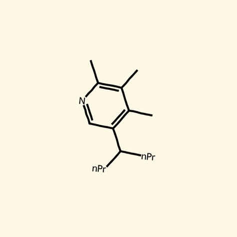 CCCC(CCC)c1cnc(C)c(C)c1C